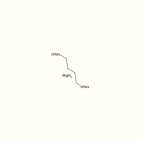 CCCCCCCCCCCCCCCC.[MgH2]